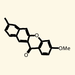 COc1ccc2c(=O)c3cc4ccc(C)cc4cc3oc2c1